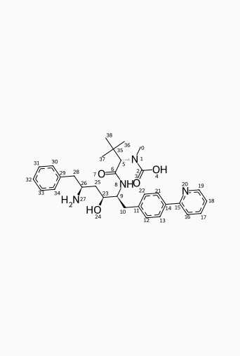 CN(C(=O)O)[C@H](C(=O)N[C@@H](Cc1ccc(-c2ccccn2)cc1)[C@@H](O)C[C@@H](N)Cc1ccccc1)C(C)(C)C